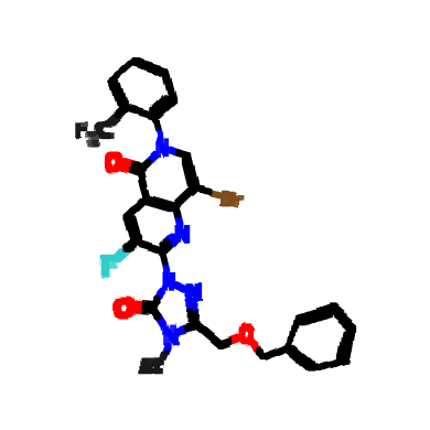 CCn1c(COCc2ccccc2)nn(-c2nc3c(Br)cn(-c4ccccc4C(F)(F)F)c(=O)c3cc2F)c1=O